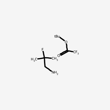 CC(C)(C)OC(=O)C(F)(F)F.CC(C)(F)CN